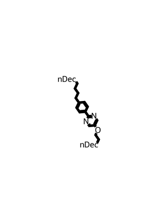 CCCCCCCCCCCCCCc1ccc(-c2ncc(OCCCCCCCCCCCC)cn2)cc1